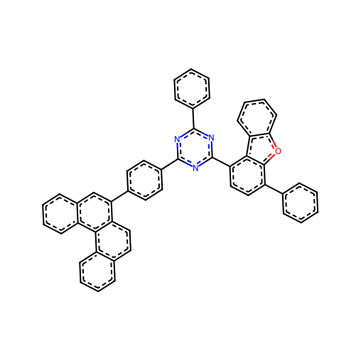 c1ccc(-c2nc(-c3ccc(-c4cc5ccccc5c5c4ccc4ccccc45)cc3)nc(-c3ccc(-c4ccccc4)c4oc5ccccc5c34)n2)cc1